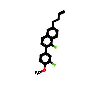 C=CCCc1ccc2c(F)c(-c3ccc(OC(F)(F)F)c(F)c3)ccc2c1